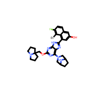 CCc1c(F)ccc2cc(O)cc(-c3nc4c(N5CC6CCC(C5)N6)nc(OCC56CCCN5CCC6)nc4[nH]3)c12